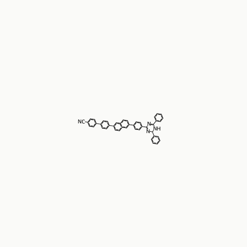 N#Cc1ccc(-c2ccc(-c3ccc4cc(-c5ccc(C6=NC(c7ccccc7)NC(c7ccccc7)=N6)cc5)ccc4c3)cc2)cc1